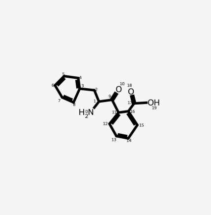 NC(Cc1ccccc1)C(=O)c1ccccc1C(=O)O